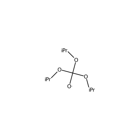 CC(C)OC([O])(OC(C)C)OC(C)C